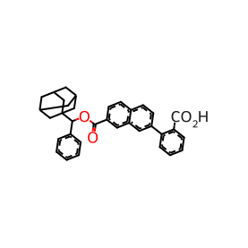 O=C(OC(c1ccccc1)C12CC3CC(CC(C3)C1)C2)c1ccc2ccc(-c3ccccc3C(=O)O)cc2c1